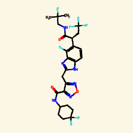 CC(C)(F)CNC(=O)[C@@H](CC(F)(F)F)c1ccc2[nH]c(Cc3nonc3C(=O)NC3CCC(F)(F)CC3)nc2c1F